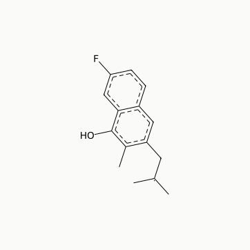 C[C](C)Cc1cc2ccc(F)cc2c(O)c1C